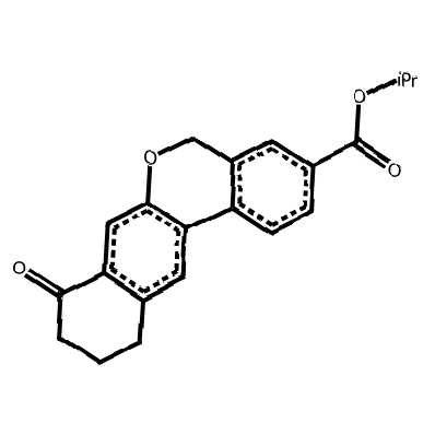 CC(C)OC(=O)c1ccc2c(c1)COc1cc3c(cc1-2)CCCC3=O